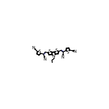 CCCn1c2cc(/C=C(\C#N)c3ccc(C#N)s3)sc2c2sc(/C=C(\C#N)c3ccc(C#N)s3)cc21